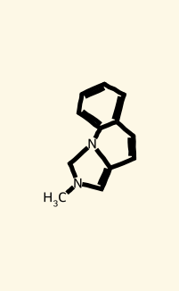 CN1C=C2C=Cc3ccccc3N2C1